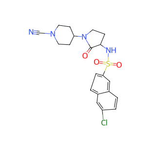 N#CN1CCC(N2CCC(NS(=O)(=O)c3ccc4cc(Cl)ccc4c3)C2=O)CC1